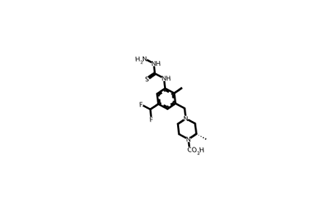 Cc1c(CN2CCN(C(=O)O)[C@@H](C)C2)cc(C(F)F)cc1NC(=S)NN